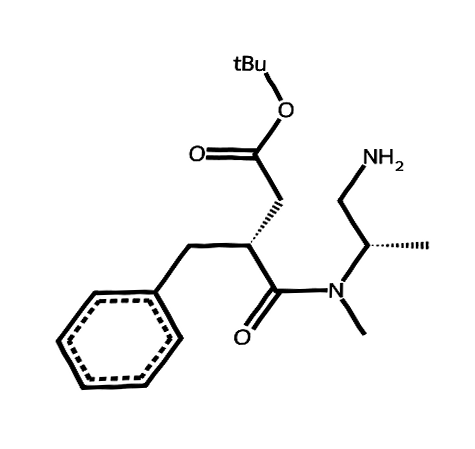 C[C@@H](CN)N(C)C(=O)[C@@H](CC(=O)OC(C)(C)C)Cc1ccccc1